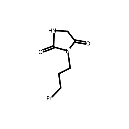 CC(C)CCCN1C(=O)CNC1=O